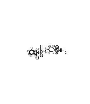 NS(=O)(=O)N1CCC(CCNC(=O)N2Cc3ccccc3C2=O)CC1